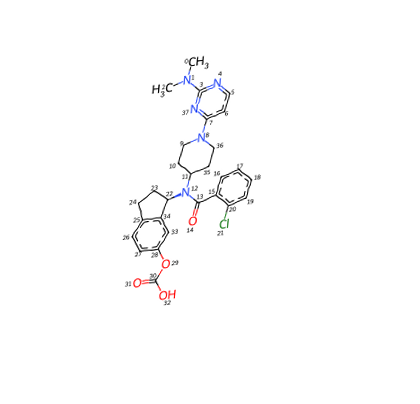 CN(C)c1nccc(N2CCC(N(C(=O)c3ccccc3Cl)[C@@H]3CCc4ccc(OC(=O)O)cc43)CC2)n1